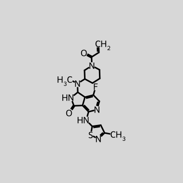 C=CC(=O)N1CCCC(N(C)C2NC(=O)c3c(Nc4cc(C)ns4)ncc(F)c32)C1